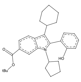 CC(C)(C)OC(=O)c1ccc2c(C3CCCCC3)c(-c3ccccc3O)n(C3CCCC3)c2c1